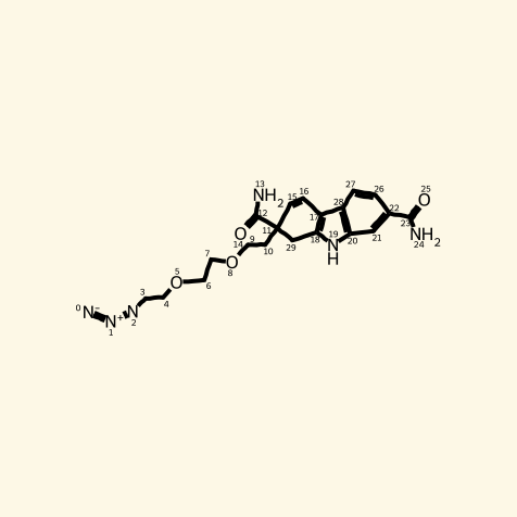 [N-]=[N+]=NCCOCCOCCC1(C(N)=O)C=Cc2c([nH]c3cc(C(N)=O)ccc23)C1